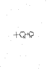 CC(C)(C)c1ccc(-n2cccn2)nc1